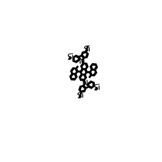 Cc1ccc2ccccc2c1-c1c2ccc(-n3c4ccc([Si](C)(C)C)cc4c4cc([Si](C)(C)C)ccc43)cc2c(-c2c(C)ccc3ccccc23)c2ccc(-n3c4ccc([Si](C)(C)C)cc4c4cc([Si](C)(C)C)ccc43)cc12